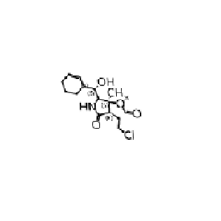 C[C@@]1(OC=O)C([C@@H](O)[C@@H]2C=CCCC2)NC(=O)[C@@H]1CCCl